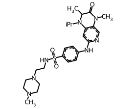 CC(C)N1c2cc(Nc3ccc(S(=O)(=O)NCCN4CCN(C)CC4)cc3)ncc2N(C)C(=O)C1C